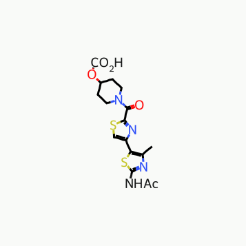 CC(=O)Nc1nc(C)c(-c2csc(C(=O)N3CCC(OC(=O)O)CC3)n2)s1